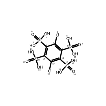 O=P(O)(O)c1c(Cl)c(P(=O)(O)O)c(P(=O)(O)O)c(Cl)c1P(=O)(O)O